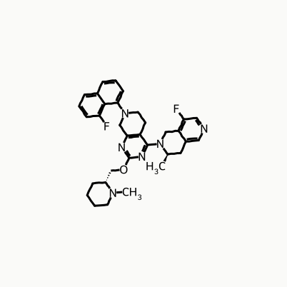 C[C@@H]1Cc2cncc(F)c2CN1c1nc(OC[C@H]2CCCCN2C)nc2c1CCN(c1cccc3cccc(F)c13)C2